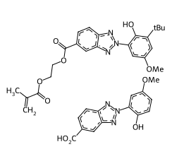 C=C(C)C(=O)OCCOC(=O)c1ccc2nn(-c3cc(OC)cc(C(C)(C)C)c3O)nc2c1.COc1ccc(O)c(-n2nc3ccc(C(=O)O)cc3n2)c1